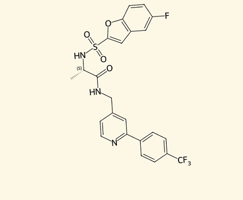 C[C@H](NS(=O)(=O)c1cc2cc(F)ccc2o1)C(=O)NCc1ccnc(-c2ccc(C(F)(F)F)cc2)c1